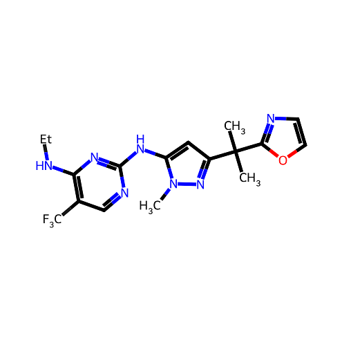 CCNc1nc(Nc2cc(C(C)(C)c3ncco3)nn2C)ncc1C(F)(F)F